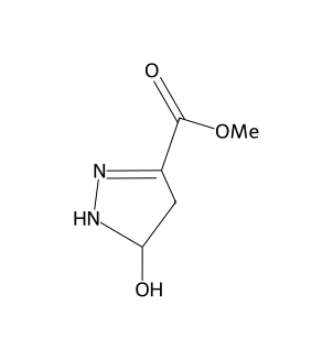 COC(=O)C1=NNC(O)C1